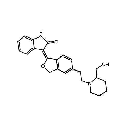 O=C1Nc2ccccc2/C1=C1\OCc2cc(CCN3CCCCC3CO)ccc21